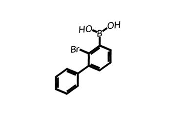 OB(O)c1cccc(-c2ccccc2)c1Br